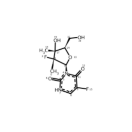 C[C@]1(F)[C@H](n2c(=O)[nH]cc(F)c2=O)O[C@H](CO)[C@@]1(C)O